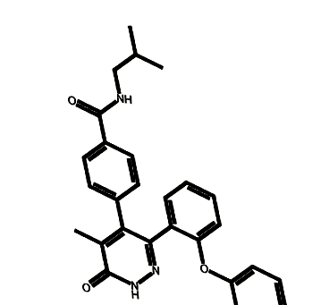 Cc1c(-c2ccc(C(=O)NCC(C)C)cc2)c(-c2ccccc2Oc2ccccc2)n[nH]c1=O